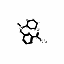 CN(Cc1cccc(C(N)=O)c1)C1CCCCC1